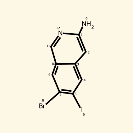 Nc1cc2cc(I)c(Br)cc2cn1